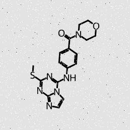 CSc1nc(Nc2ccc(C(=O)N3CCOCC3)cc2)n2ccnc2n1